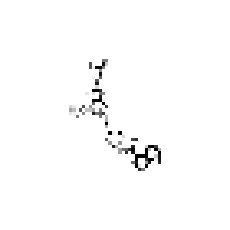 CC1CN(CC[C@H]2CC[C@H](NC(=O)c3cccc4ncccc34)CC2)Cc2nc(OCC(F)F)sc21